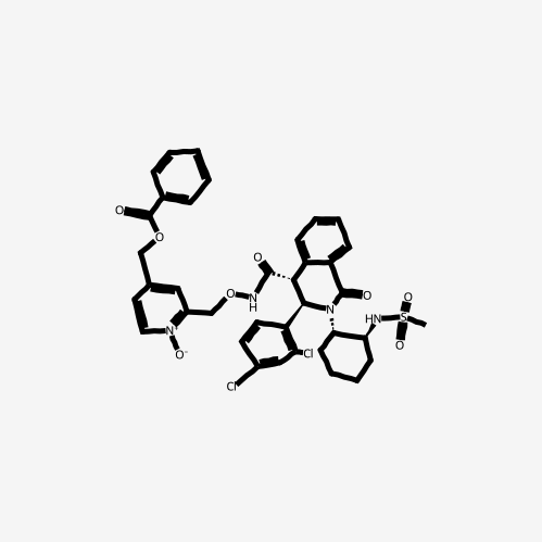 CS(=O)(=O)N[C@H]1CCCC[C@@H]1N1C(=O)c2ccccc2[C@@H](C(=O)NOCc2cc(COC(=O)c3ccccc3)cc[n+]2[O-])[C@@H]1c1ccc(Cl)cc1Cl